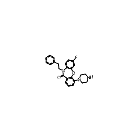 O=C1c2cccc(N3CCNCC3)c2Oc2cc(F)ccc2N1CCc1ccccc1